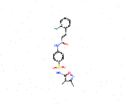 Cc1noc(NS(=O)(=O)c2ccc(NC(=O)/C=C/c3ccccc3Cl)cc2)c1C